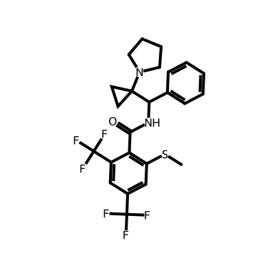 CSc1cc(C(F)(F)F)cc(C(F)(F)F)c1C(=O)NC(c1ccccc1)C1(N2CCCC2)CC1